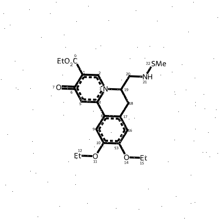 CCOC(=O)c1cn2c(cc1=O)-c1cc(OCC)c(OCC)cc1CC2CNSC